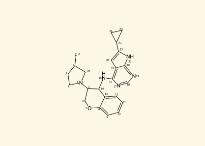 FC1CCN(C2COc3ccccc3C2Nc2ncnc3[nH]c(C4CC4)cc23)C1